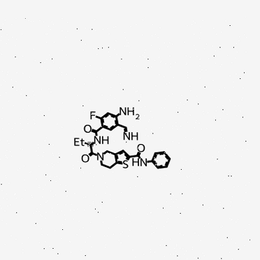 CC[C@@H](NC(=O)c1cc(C=N)c(N)cc1F)C(=O)N1CCc2sc(C(=O)Nc3ccccc3)cc2C1